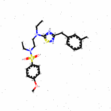 CCN(CCN(CC)S(=O)(=O)c1ccc(OC)cc1)c1nc(Cc2cccc(C)c2)ns1